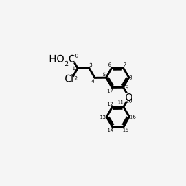 O=C(O)C(Cl)CCc1cccc(Oc2ccccc2)c1